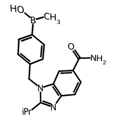 CB(O)c1ccc(Cn2c(C(C)C)nc3ccc(C(N)=O)cc32)cc1